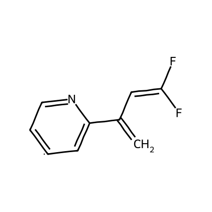 C=C(C=C(F)F)c1c[c]ccn1